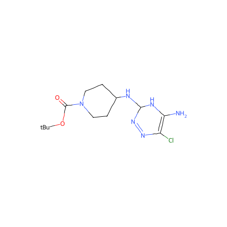 CC(C)(C)OC(=O)N1CCC(NC2N=NC(Cl)=C(N)N2)CC1